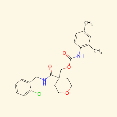 Cc1ccc(NC(=O)OCC2(C(=O)NCc3ccccc3Cl)CCOCC2)c(C)c1